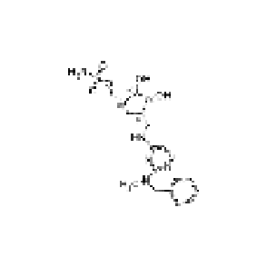 CN(Cc1ccccc1)c1nccc(NC[C@@H]2C[C@H](COS(N)(=O)=O)[C@@H](O)[C@H]2O)n1